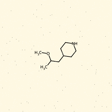 COC(C)CC1CCNCC1